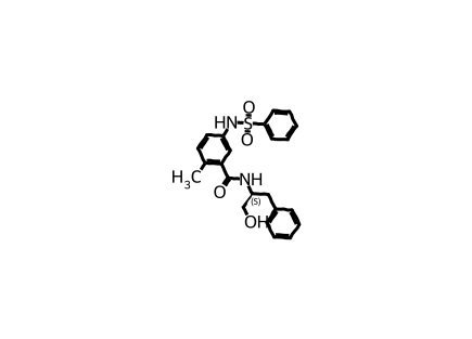 Cc1ccc(NS(=O)(=O)c2ccccc2)cc1C(=O)N[C@H](CO)Cc1ccccc1